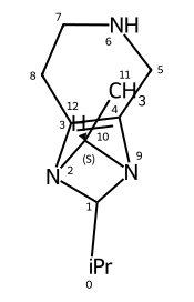 CC(C)C1N2C3=C(CNCC3)N1[C@H]2C